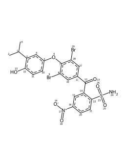 CC(C)c1cc(Oc2c(Br)cc(C(=O)c3cc([N+](=O)[O-])ccc3S(N)(=O)=O)cc2Br)ccc1O